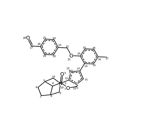 COC(=O)C1C2CCC1CN(c1nc(-c3cc(C)ccc3OCc3ccc(C=O)cc3)cs1)C2